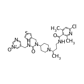 Cc1cc(Cl)nc(C)c1C(=O)NCC[C@@H](C)N1CCC(N(Cc2ccsc2)C(=O)NCc2cnc[n+]([O-])c2)CC1